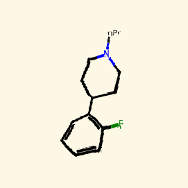 CCCN1CCC(c2ccc[c]c2F)CC1